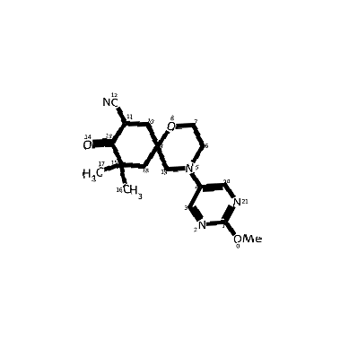 COc1ncc(N2CCOC3(CC(C#N)C(=O)C(C)(C)C3)C2)cn1